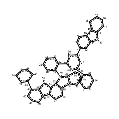 c1ccc(-c2nc(-c3ccc4c(c3)sc3ccccc34)nc(-c3ccccc3-n3c4ccccc4c4ccc5c6cccc(-c7ccccc7)c6sc5c43)n2)cc1